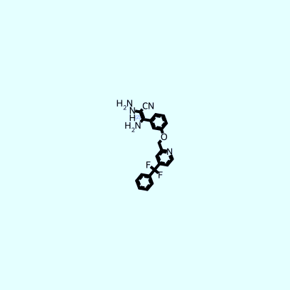 N#C/C(NN)=C(/N)c1cccc(OCc2cc(C(F)(F)c3ccccc3)ccn2)c1